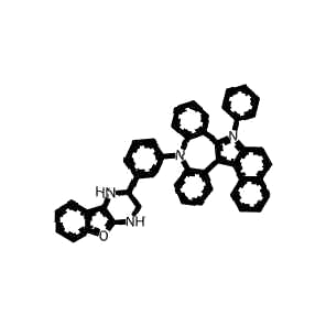 c1ccc(-n2c3c(c4c5ccccc5ccc42)-c2ccccc2N(c2cccc(C4CNc5oc6ccccc6c5N4)c2)c2ccccc2-3)cc1